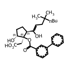 CCCCC(C)(C)CC=C(O)[C@@H]1CC[C@@H](O)[C@]1(CC(=O)O)OC(=O)c1cccc(-c2ccccc2)c1